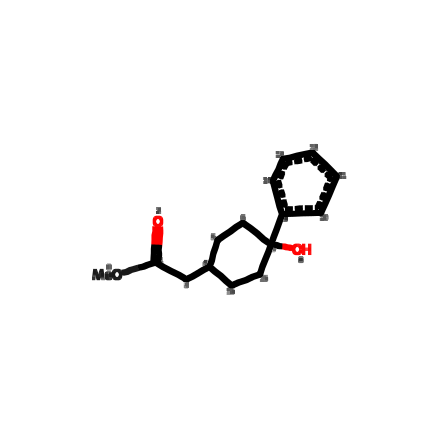 COC(=O)CC1CCC(O)(c2ccccc2)CC1